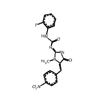 CN1/C(=C\c2ccc([N+](=O)[O-])cc2)C(=O)N/C1=N\C(=O)Nc1ccccc1F